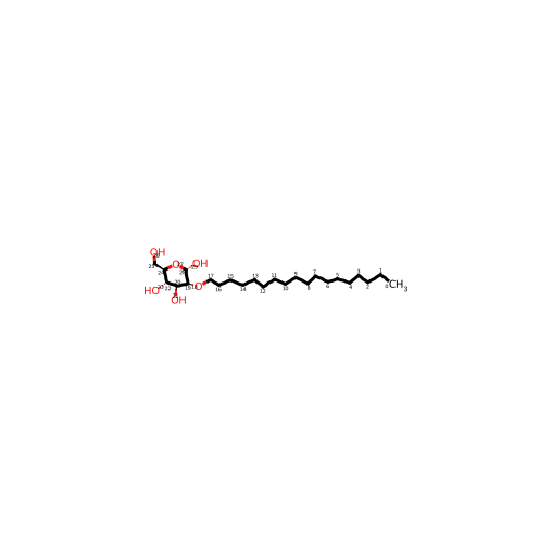 CCCCCCCCCCCCCCCCCCO[C@@H]1[C@@H](O)[C@H](O)[C@@H](CO)O[C@@H]1O